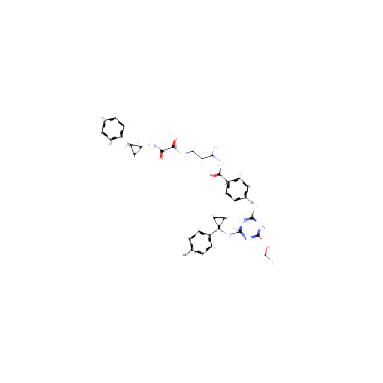 O=C(NCC[C@H](NC(=O)c1ccc(Nc2nc(NC3(c4ccc(Cl)cc4)CC3)nc(OCC(F)(F)F)n2)cc1)C(=O)O)C(=O)N[C@H]1C[C@H]1c1ccccc1